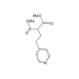 COC(=O)C(CCc1ccncc1)C(=O)OC